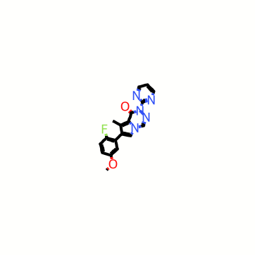 COc1ccc(F)c(-c2cn3cnn(-c4ncccn4)c(=O)c3c2C)c1